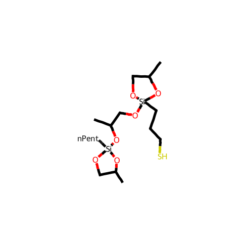 CCCCC[Si]1(OC(C)CO[Si]2(CCCS)OCC(C)O2)OCC(C)O1